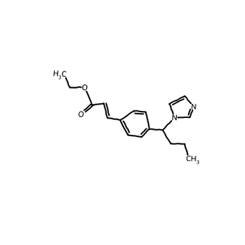 CCCC(c1ccc(/C=C/C(=O)OCC)cc1)n1ccnc1